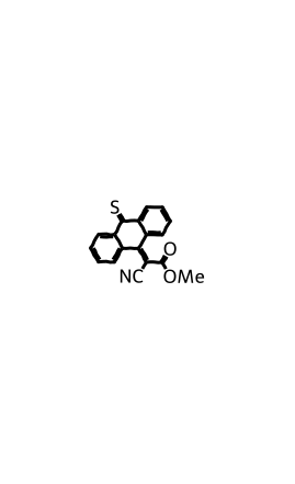 COC(=O)C(C#N)=C1c2ccccc2C(=S)c2ccccc21